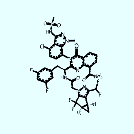 Cn1nc(NS(C)(=O)=O)c2c(Cl)ccc(-n3c([C@H](Cc4cc(F)cc(F)c4)NC(=O)Cn4nc(C(F)F)c5c4C(F)(F)[C@@H]4C[C@H]54)nc4c(C(N)=O)cccc4c3=O)c21